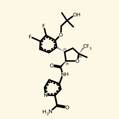 CC(C)(O)COc1c([C@@H]2C[C@](C)(C(F)(F)F)O[C@H]2C(=O)Nc2ccnc(C(N)=O)c2)ccc(F)c1F